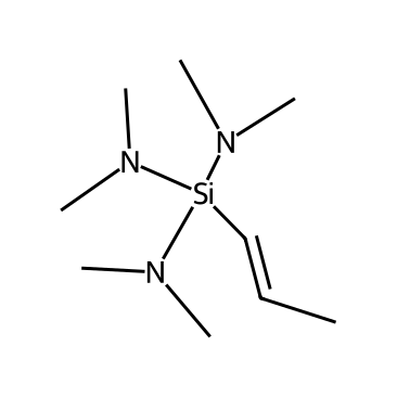 CC=C[Si](N(C)C)(N(C)C)N(C)C